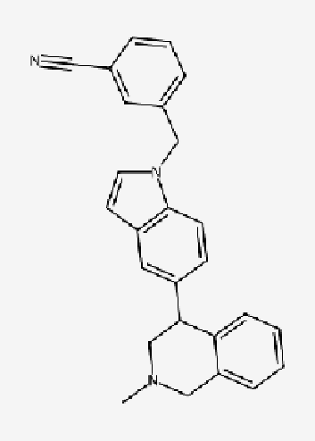 CN1Cc2ccccc2C(c2ccc3c(ccn3Cc3cccc(C#N)c3)c2)C1